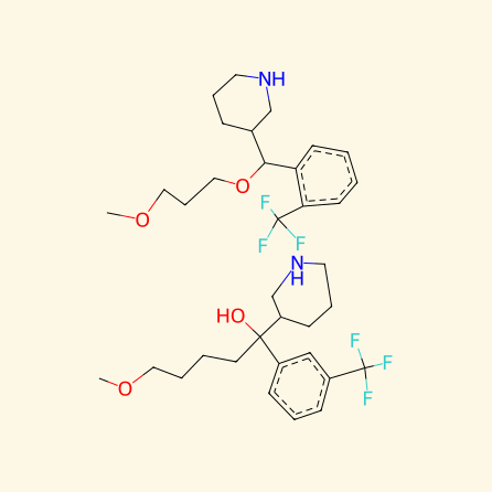 COCCCCC(O)(c1cccc(C(F)(F)F)c1)C1CCCNC1.COCCCOC(c1ccccc1C(F)(F)F)C1CCCNC1